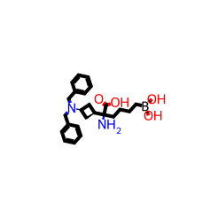 N[C@](CCCCB(O)O)(C(=O)O)[C@H]1C[C@H](N(Cc2ccccc2)Cc2ccccc2)C1